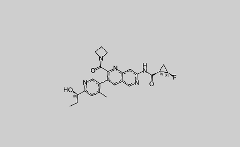 CC[C@@H](O)c1cc(C)c(-c2cc3cnc(NC(=O)[C@H]4C[C@H]4F)cc3nc2C(=O)N2CCC2)cn1